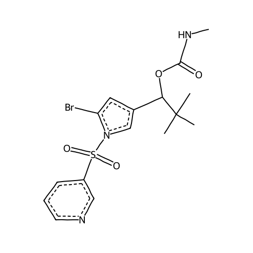 CNC(=O)OC(c1cc(Br)n(S(=O)(=O)c2cccnc2)c1)C(C)(C)C